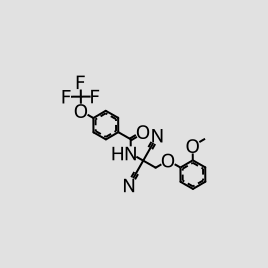 COc1ccccc1OCC(C#N)(C#N)NC(=O)c1ccc(OC(F)(F)F)cc1